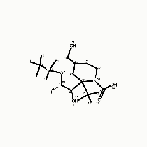 C[C@H](O[Si](C)(C)C(C)(C)C)C(O)C1(C(C)(C)C)CC(CO)CCN1C(=O)O